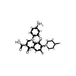 CC1CCN(c2c(F)cc3c(=O)c(C(=O)O)cn4c3c2Oc2cc(N)ccc2-4)CC1